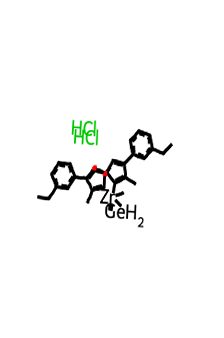 CCc1cccc(C2=CC(C)[C]([Zr]([CH3])([CH3])(=[GeH2])[C]3=C(C)C(c4cccc(CC)c4)=CC3C)=C2C)c1.Cl.Cl